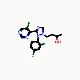 CC(O)CCN1CN=C(c2ncncc2F)N1c1ccc(F)cc1F